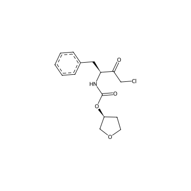 O=C(N[C@@H](Cc1ccccc1)C(=O)CCl)O[C@H]1CCOC1